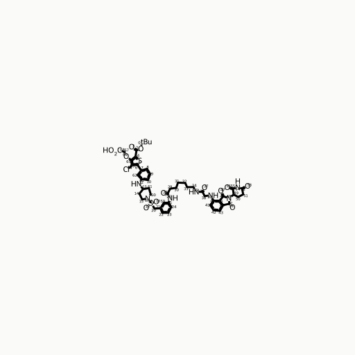 CC(C)(C)OC(=O)c1sc(-c2cccc(NC3CCN(S(=O)(=O)Cc4cccc(NC(=O)CCCCCCNC(=O)CNc5cccc6c5C(=O)N(C5CCC(=O)NC5=O)C6=O)c4)CC3)c2)c(Cl)c1OCC(=O)O